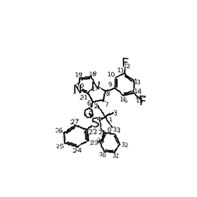 CC(C)(C)[Si](OC1CC(c2cc(F)cc(F)c2)n2ccnc21)(c1ccccc1)c1ccccc1